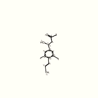 CC(=O)C[C@H](O)c1cc(C)c(CCO)c(C)c1